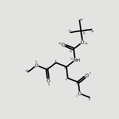 COC(=O)CC(CC(=O)OC)NC(=O)OC(C)(C)C